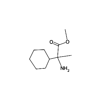 COC(=O)C(C)(N)C1CCCCC1